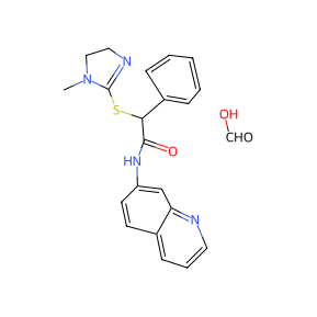 CN1CCN=C1SC(C(=O)Nc1ccc2cccnc2c1)c1ccccc1.O=CO